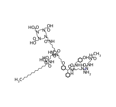 CCCCCCCCCCCCCCCC(=O)NC(O)(CCC(=O)N[C@@H](CCCCNC(=O)CN1CCN(CC(=O)O)CCN(CC(=O)O)CCN(CC(=O)O)CC1)C(=O)NCCCCOc1cccc(C(C(=O)N[C@H](CCCN/C(N)=N\C(=O)NCCNC(=O)CC)C(=O)NCc2ccc(O)cc2)c2ccccc2)c1)C(=O)O